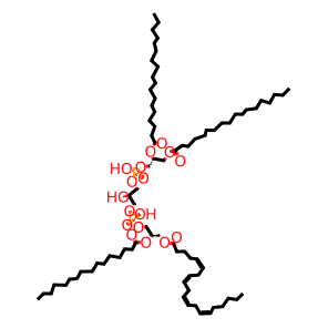 CCCCC/C=C\C/C=C\C/C=C\C/C=C\CCCC(=O)OC[C@H](COP(=O)(O)OC[C@@H](O)COP(=O)(O)OC[C@@H](COC(=O)CCCCCCCCCCCCCCCCC)OC(=O)CCCCCCCCCCCCCCCCC)OC(=O)CCCCCCCCCCCCCCC